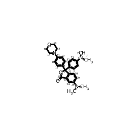 CN(C)c1ccc(C2(c3ccc(N4CCOCC4)cc3)OC(=O)c3cc(N(C)C)ccc32)cc1